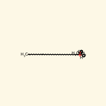 CCC=CCCCCCCCCCC=CCCCCCCCCCCCCCCCCCCCCCCCCCCCCCC(O[SiH](c1ccccc1)c1ccccc1)C(C)(C)C